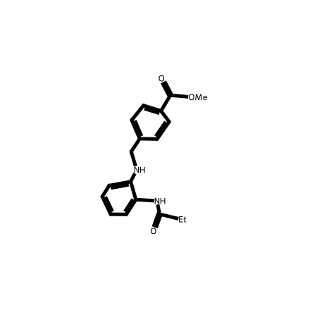 CCC(=O)Nc1ccccc1NCc1ccc(C(=O)OC)cc1